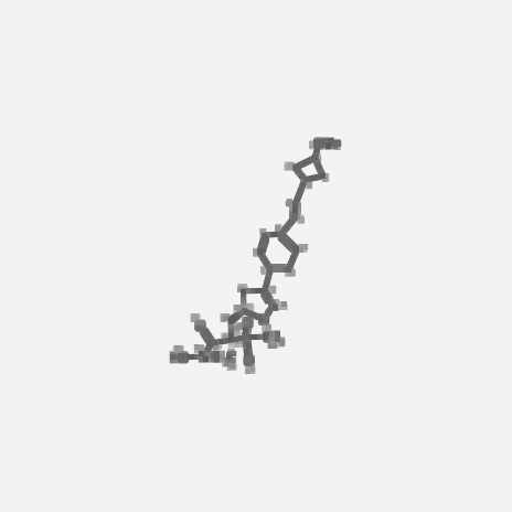 COC1CC(C#Cc2ccc(C3=NO[C@@H](C[C@](C)(C(=O)NO)S(C)(=O)=O)C3)cc2)C1